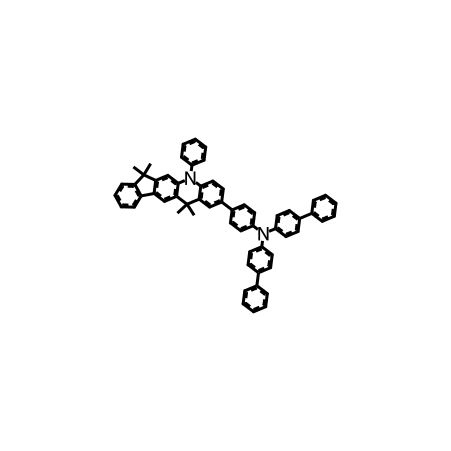 CC1(C)c2ccccc2-c2cc3c(cc21)N(c1ccccc1)c1ccc(-c2ccc(N(c4ccc(-c5ccccc5)cc4)c4ccc(-c5ccccc5)cc4)cc2)cc1C3(C)C